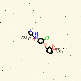 O=C(O)c1ccncc1C(=O)Nc1ccc(OCc2cccc(OC(F)(F)F)c2)c(Cl)c1